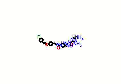 Nc1nc(N)c(C(=O)/N=C2\NCC3(CCN(C(=O)NCCc4ccc(OCCc5ccc(F)cc5)cc4)CC3)N2)nc1I